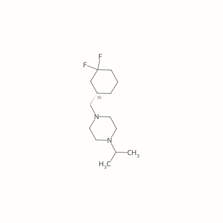 CC(C)N1CCN(C[C@H]2CCCC(F)(F)C2)CC1